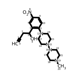 C#CCC(O)c1cc([N+](=O)[O-])ccc1N1CCN(N2CCN(C)CC2)CC1